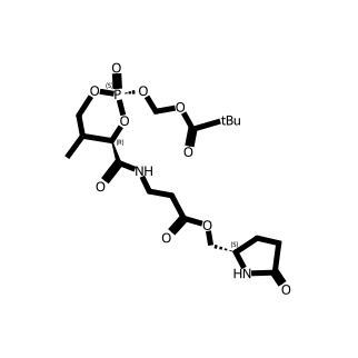 CC1CO[P@](=O)(OCOC(=O)C(C)(C)C)O[C@H]1C(=O)NCCC(=O)OC[C@@H]1CCC(=O)N1